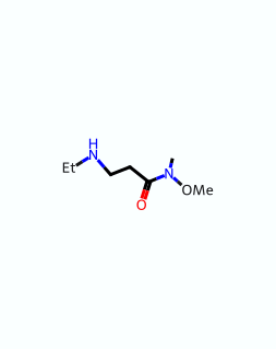 CCNCCC(=O)N(C)OC